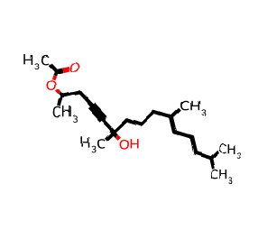 CC(=O)OC(C)CC#CC(C)(O)CCCC(C)CCCC(C)C